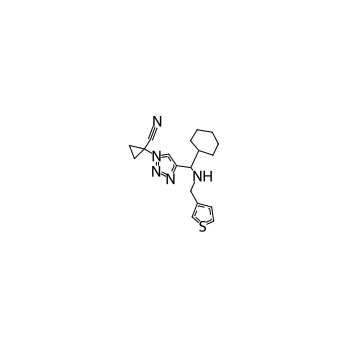 N#CC1(n2cc(C(NCc3ccsc3)C3CCCCC3)nn2)CC1